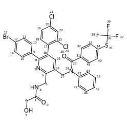 O=C(CO)NCc1nc(-c2ccc(Br)cc2)c(-c2ccc(Cl)cc2Cl)cc1CN(C(=O)c1ccc(SC(F)(F)F)cc1)c1ccccc1